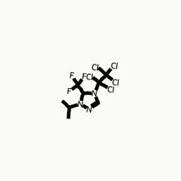 CC(C)N1N=CN(C(Cl)(Cl)C(Cl)(Cl)Cl)C1C(F)(F)F